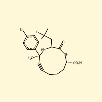 CC(C)(F)C[C@@H]1N[C@@](c2ccc(Br)cc2)(C(F)(F)F)C#CCCC[C@@H](C(=O)O)NC1=O